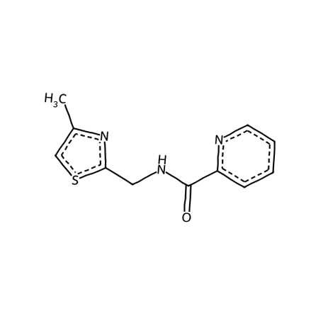 Cc1csc(CNC(=O)c2ccccn2)n1